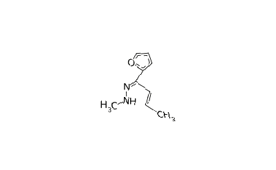 C/C=C/C(=N\NC)c1ccco1